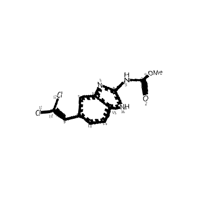 COC(=O)Nc1nc2cc(C=C(Cl)Cl)ccc2[nH]1